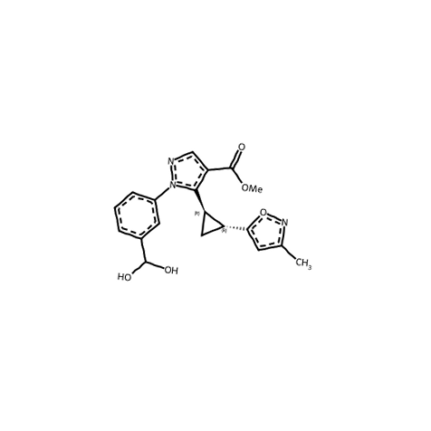 COC(=O)c1cnn(-c2cccc(C(O)O)c2)c1[C@@H]1C[C@H]1c1cc(C)no1